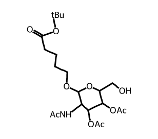 CC(=O)NC1C(OCCCCC(=O)OC(C)(C)C)OC(CO)C(OC(C)=O)C1OC(C)=O